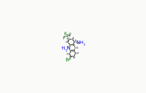 Nc1cc(C(F)(F)F)cc(N)c1Cc1ccc(Br)cc1